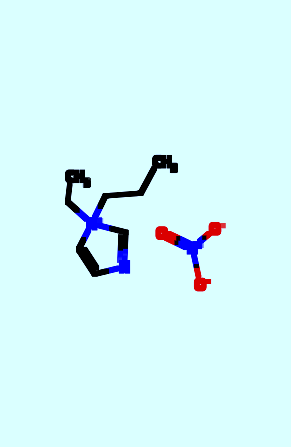 CCC[N+]1(CC)C=CN=C1.O=[N+]([O-])[O-]